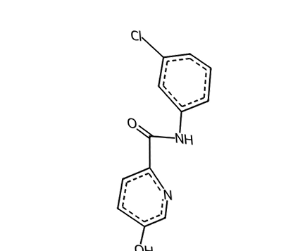 O=C(Nc1cccc(Cl)c1)c1ccc(O)cn1